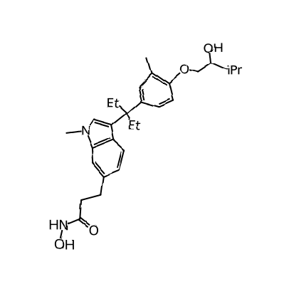 CCC(CC)(c1ccc(OCC(O)C(C)C)c(C)c1)c1cn(C)c2cc(CCC(=O)NO)ccc12